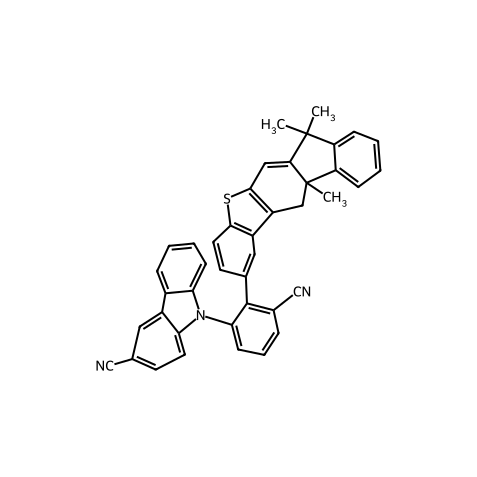 CC1(C)C2=Cc3sc4ccc(-c5c(C#N)cccc5-n5c6ccccc6c6cc(C#N)ccc65)cc4c3CC2(C)c2ccccc21